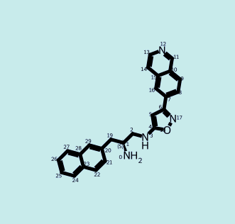 N[C@H](CNc1cc(-c2ccc3cnccc3c2)no1)Cc1ccc2ccccc2c1